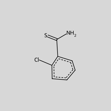 NC(=S)c1ccccc1Cl